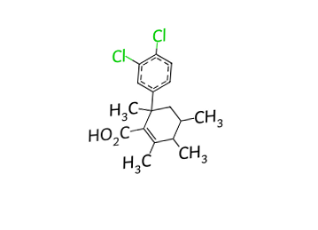 CC1=C(C(=O)O)C(C)(c2ccc(Cl)c(Cl)c2)CC(C)C1C